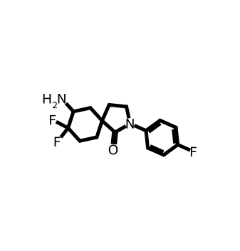 NC1CC2(CCN(c3ccc(F)cc3)C2=O)CCC1(F)F